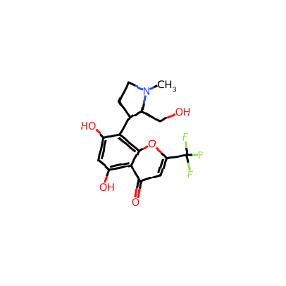 CN1CCC(c2c(O)cc(O)c3c(=O)cc(C(F)(F)F)oc23)C1CO